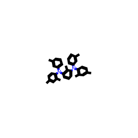 Cc1cccc(N(c2ccc(C)cc2C)c2cccc(N(c3cccc(C)c3)c3ccc(C)cc3C)c2C)c1